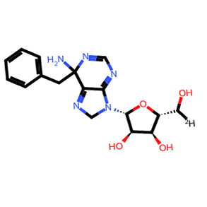 [2H]C(O)[C@H]1O[C@@H](N2CN=C3C2=NC=NC3(N)Cc2ccccc2)[C@H](O)[C@@H]1O